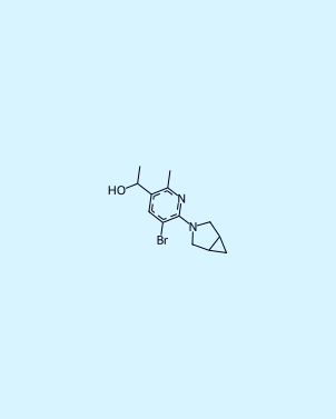 Cc1nc(N2CC3CC3C2)c(Br)cc1C(C)O